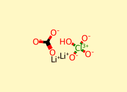 O=C([O-])[O-].[Li+].[Li+].[O-][Cl+3]([O-])([O-])O